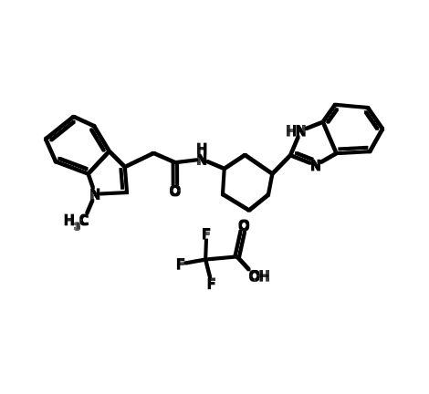 Cn1cc(CC(=O)NC2CCCC(c3nc4ccccc4[nH]3)C2)c2ccccc21.O=C(O)C(F)(F)F